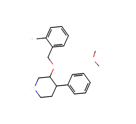 CC(C)(C)OC=O.N#Cc1ccccc1COC1CNCCC1c1ccccc1